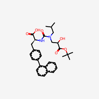 CC(C)CN(CC(O)C(=O)OC(C)(C)C)C(=O)N[C@@H](Cc1ccc(-c2cccc3ccccc23)cc1)C(=O)O